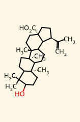 C=C(C)[C@@H]1CC[C@]2(C(=O)O)CC[C@]3(C)C(CCC4[C@@]5(C)CCC(O)C(C)(C)C5CC[C@]43C)C12